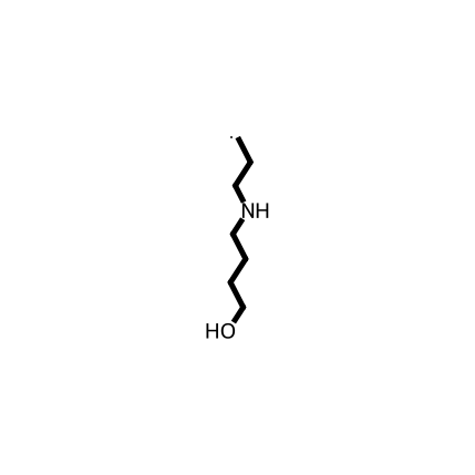 [CH2]CCNCCCCO